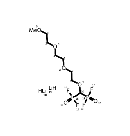 COCCOCCOCCOC(P(=O)(F)F)P(=O)(F)F.[LiH].[LiH]